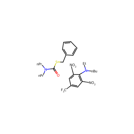 CCCCN(CC)c1c([N+](=O)[O-])cc(C(F)(F)F)cc1[N+](=O)[O-].CCCN(CCC)C(=O)SCc1ccccc1